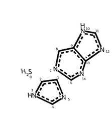 S.c1c[nH]cn1.c1ncc2[nH]cnc2n1